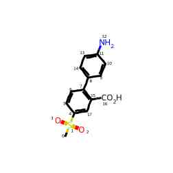 CS(=O)(=O)c1ccc(-c2ccc(N)cc2)c(C(=O)O)c1